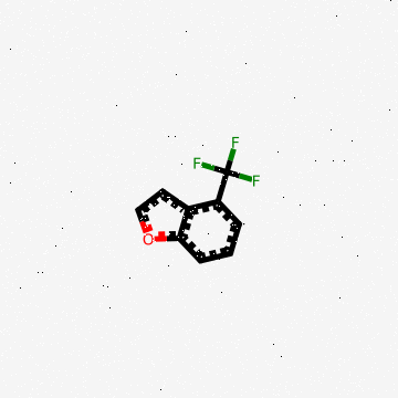 FC(F)(F)c1[c]ccc2occc12